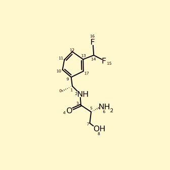 C[C@@H](NC(=O)[C@H](N)CO)c1cccc(C(F)F)c1